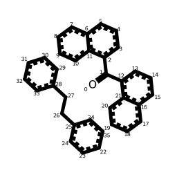 O=C(c1cccc2ccccc12)c1cccc2ccccc12.c1ccc(CCc2ccccc2)cc1